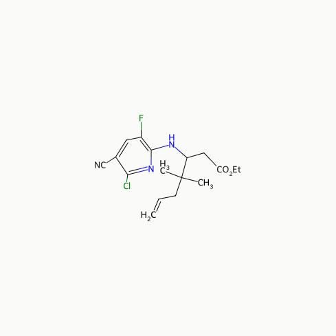 C=CCC(C)(C)C(CC(=O)OCC)Nc1nc(Cl)c(C#N)cc1F